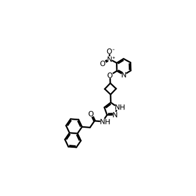 O=C(Cc1cccc2ccccc12)Nc1cc(C2CC(Oc3ncccc3[N+](=O)[O-])C2)[nH]n1